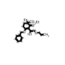 C=CCON=C(CC)C1=C(OCc2ccccc2)CCC(CC)(C(=O)OCC)C1=O